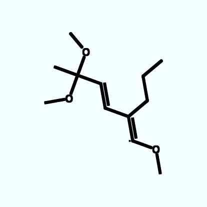 CCC/C(=[C]\OC)C=CC(C)(OC)OC